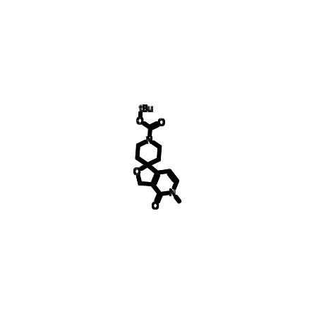 Cn1ccc2c(c1=O)COC21CCN(C(=O)OC(C)(C)C)CC1